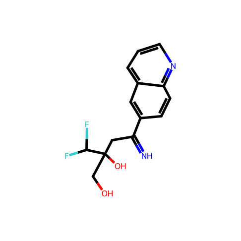 N=C(CC(O)(CO)C(F)F)c1ccc2ncccc2c1